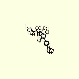 CCOC(=O)C(c1ncn2c1C[C@@H](F)C2)n1cc2c(Cl)cc(-c3ccc(N4CCN5CCC4C5)cc3)c(Cl)c2n1